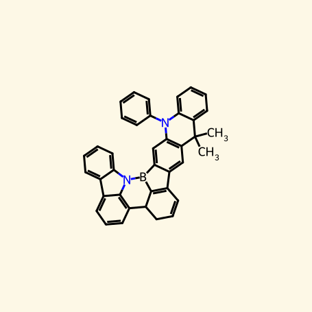 CC1(C)c2ccccc2N(c2ccccc2)c2cc3c(cc21)C1=C2B3n3c4ccccc4c4cccc(c43)C2CC=C1